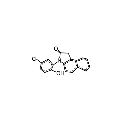 O=C1Cc2c(ccc3ccccc23)N1c1cc(Cl)ccc1O